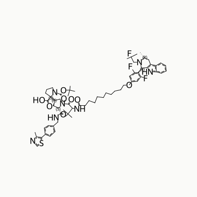 Cc1ncsc1-c1ccc(CNC(=O)[C@@H]2C[C@@H]([C@]3(C(=O)O)CCCN3C(=O)OC(C)(C)C)CN2C(=O)C(NC(=O)CCCCCCCCCCOc2cc(F)c([C@@H]3c4[nH]c5ccccc5c4C[C@@H](C)N3CC(C)(C)F)c(F)c2)C(C)(C)C)cc1